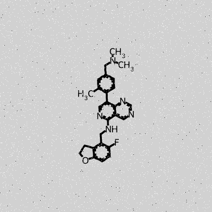 Cc1cc(CN(C)C)ccc1-c1cnc(NCc2c(F)ccc3c2CCO3)c2cncnc12